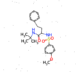 COc1ccc(S(=O)(=O)NC(CCc2ccccc2)C(=O)NC(C)(C)C)cc1